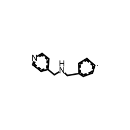 [c]1ccc(CNCc2ccncc2)cc1